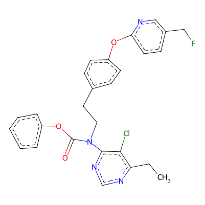 CCc1ncnc(N(CCc2ccc(Oc3ccc(CF)cn3)cc2)C(=O)Oc2ccccc2)c1Cl